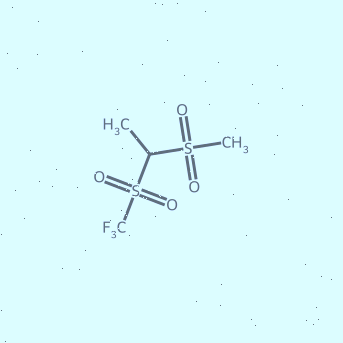 CC(S(C)(=O)=O)S(=O)(=O)C(F)(F)F